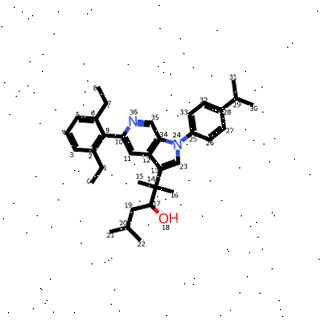 CCc1cccc(CC)c1-c1cc2c(C(C)(C)C(O)CC(C)C)cn(-c3ccc(C(C)C)cc3)c2cn1